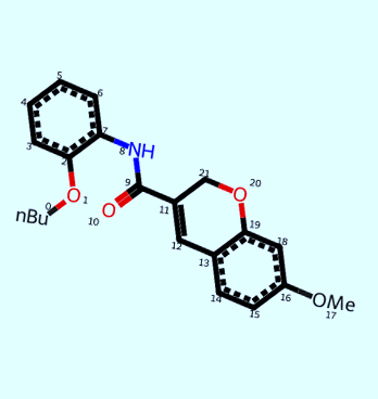 CCCCOc1ccccc1NC(=O)C1=Cc2ccc(OC)cc2OC1